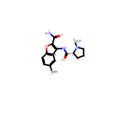 COc1ccc2oc(C(N)=O)c(NC(=O)[C@H]3CCCN3C(=O)O)c2c1